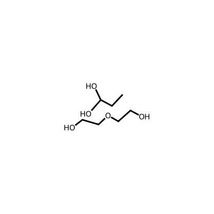 CCC(O)O.OCCOCCO